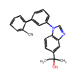 CC(C)(O)c1ccc2c(c1)ncn2-c1cccc(-c2ccccc2C#N)c1